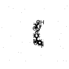 CCN(CCN1CCC(c2noc3cc(F)ccc23)CC1)C(=O)C(C)CO